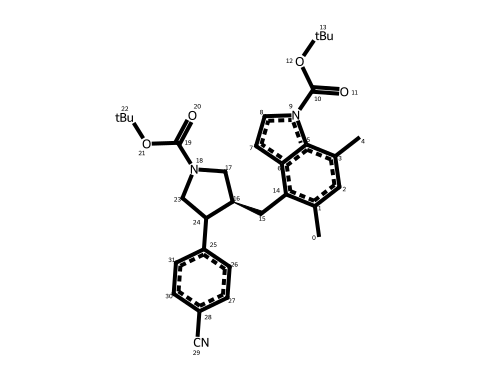 Cc1cc(C)c2c(ccn2C(=O)OC(C)(C)C)c1C[C@@H]1CN(C(=O)OC(C)(C)C)CC1c1ccc(C#N)cc1